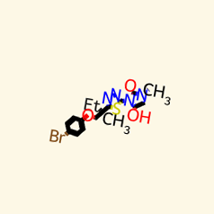 CCC(C)(COc1ccc(Br)cc1)c1nnc(N2C(=O)N(C)CC2O)s1